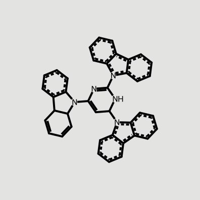 C1=CC2c3ccccc3N(C3=CC(n4c5ccccc5c5ccccc54)NC(n4c5ccccc5c5ccccc54)=N3)C2C=C1